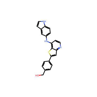 OCc1ccc(-c2cc3nccc(Nc4ccc5[nH]ccc5c4)c3s2)cc1